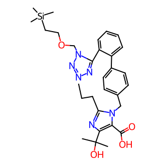 CCCc1nc(C(C)(C)O)c(C(=O)O)n1Cc1ccc(-c2ccccc2-c2nnnn2COCC[Si](C)(C)C)cc1